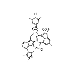 Cc1cc(N2C(=O)c3c(CCCOc4cc(C)c(Cl)c(C)c4)c4cccc(-c5c(C)nn(C)c5C)c4n3C(C)[C@H]2Cl)c2c(c1)cc(C(=O)O)n2CC1CCN(C)C1